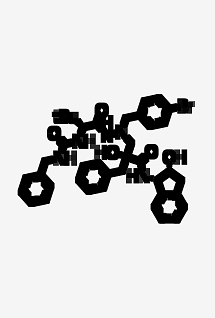 CC(C)(C)[C@H](NC(=O)NCc1ccccc1)C(=O)NN(Cc1ccc(Br)cc1)C[C@@](O)(Cc1ccccc1)C(=O)N[C@H]1c2ccccc2C[C@H]1O